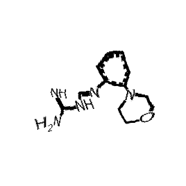 N=C(N)NC=Nc1ccccc1N1CCOCC1